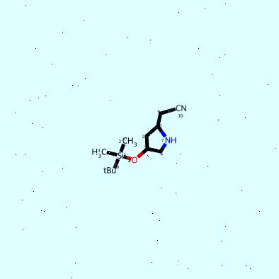 CC(C)(C)[Si](C)(C)OC1CNC(CC#N)C1